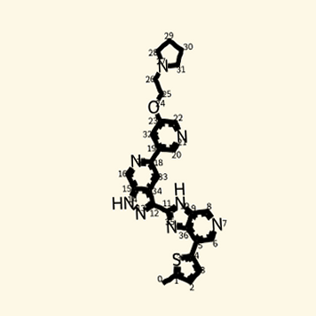 Cc1ccc(-c2cncc3[nH]c(-c4n[nH]c5cnc(-c6cncc(OCCN7CCCC7)c6)cc45)nc23)s1